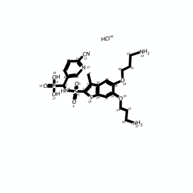 Cc1c(S(=O)(=O)NC(c2ccc(C#N)nc2)P(=O)(O)O)sc2cc(OCCCN)c(OCCCN)cc12.Cl